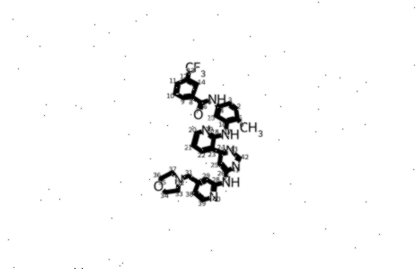 Cc1ccc(NC(=O)c2cccc(C(F)(F)F)c2)cc1Nc1ncccc1-c1cc(Nc2cc(CN3CCOCC3)ccn2)ncn1